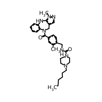 CCCCCCN1CCN(C(=O)NCc2ccc(C(=O)N3Cc4cnn(C)c4Nc4ccccc43)cc2C)CC1